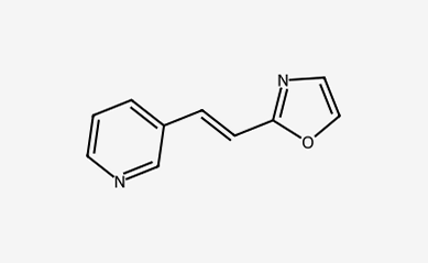 C(=Cc1ncco1)c1cccnc1